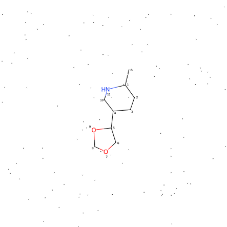 CC1CCC(C2COCO2)CN1